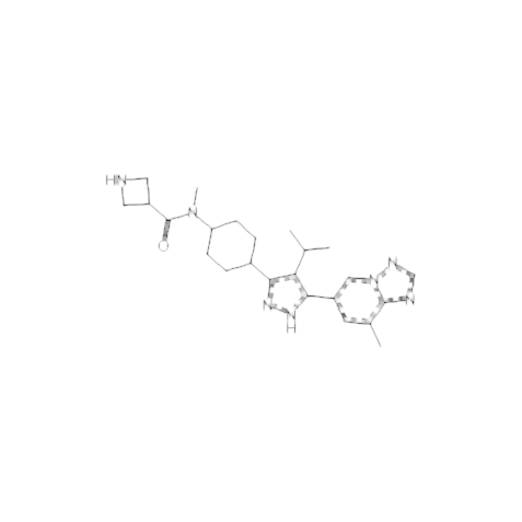 Cc1cc(-c2[nH]nc(C3CCC(N(C)C(=O)C4CNC4)CC3)c2C(C)C)cn2ncnc12